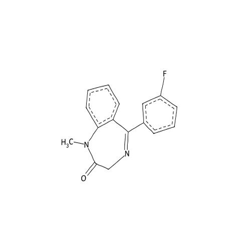 CN1C(=O)CN=C(c2cccc(F)c2)c2ccccc21